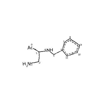 CC(=O)C(CN)NCc1ccccc1